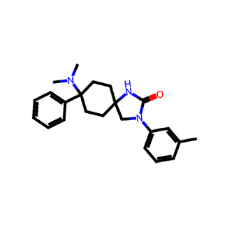 Cc1cccc(N2CC3(CCC(c4ccccc4)(N(C)C)CC3)NC2=O)c1